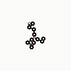 c1cc(-c2ccc(N(c3ccc(-c4ccccc4-n4c5ccccc5c5ccccc54)cc3)c3ccc(-c4cccc5ccccc45)cc3)cc2)cc(-c2cccc3oc4ccccc4c23)c1